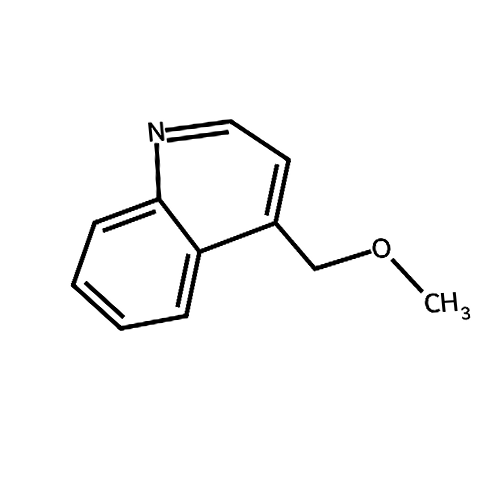 COCc1ccnc2ccccc12